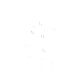 Clc1nc(-c2ccccc2)nc(-c2cccc3c4ccccc4n(-c4ccccc4)c23)n1